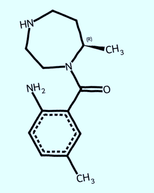 Cc1ccc(N)c(C(=O)N2CCNCC[C@H]2C)c1